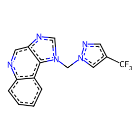 FC(F)(F)c1cnn(Cn2cnc3cnc4ccccc4c32)c1